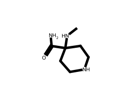 CNC1(C(N)=O)CCNCC1